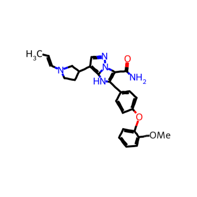 CC=CN1CCC(c2cnn3c(C(N)=O)c(-c4ccc(Oc5ccccc5OC)cc4)[nH]c23)C1